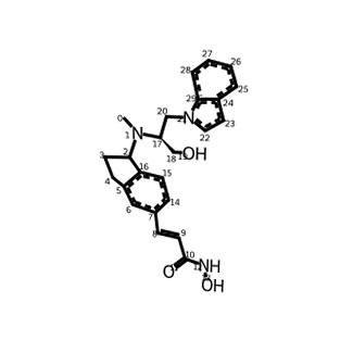 CN(C1CCc2cc(/C=C/C(=O)NO)ccc21)[C@H](CO)Cn1ccc2ccccc21